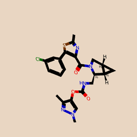 Cc1nc(C(=O)N2C[C@@H]3C[C@@H]3[C@H]2CNC(=O)Oc2cn(C)nc2C)c(-c2cccc(Cl)c2)s1